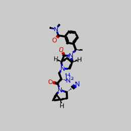 C[C@H](c1cccc(C(=O)N(C)C)c1)N1C(=O)[C@@H]2C[C@H]1CN2C[C@H](N)C(=O)N1C2C[C@H]2C[C@H]1C#N